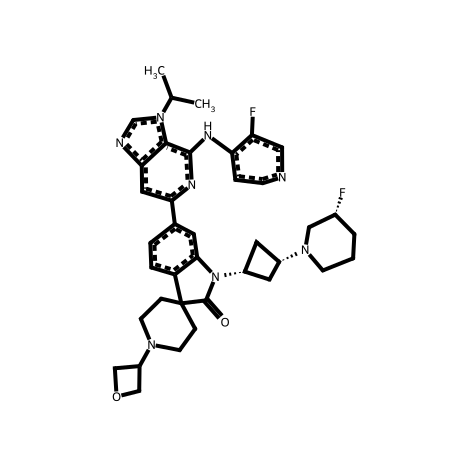 CC(C)n1cnc2cc(-c3ccc4c(c3)N([C@H]3C[C@@H](N5CCC[C@@H](F)C5)C3)C(=O)C43CCN(C4COC4)CC3)nc(Nc3ccncc3F)c21